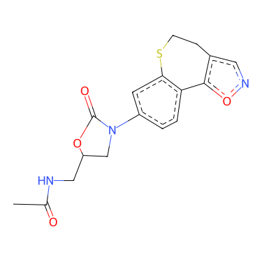 CC(=O)NCC1CN(c2ccc3c(c2)SCCc2cnoc2-3)C(=O)O1